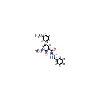 CCCCn1cc(-c2cccc(C(F)(F)F)c2)cc(C(=O)NCCc2ccccc2)c1=O